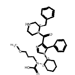 COCCCN(C(=O)O)[C@H]1CCCC[C@@H]1n1cnc(C(=O)N2CCNC[C@H]2Cc2ccccc2)c1-c1ccccc1